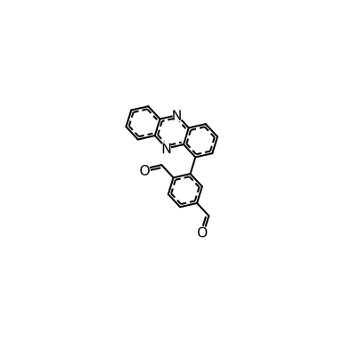 O=Cc1ccc(C=O)c(-c2cccc3nc4ccccc4nc23)c1